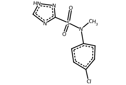 CN(c1ccc(Cl)cc1)S(=O)(=O)c1nc[nH]n1